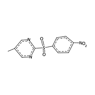 Cc1cnc(S(=O)(=O)c2ccc([N+](=O)[O-])cc2)nc1